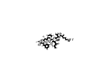 CC[C@H](C)[C@@H]([C@@H](CC(=O)N1CCC[C@H]1[C@H](OC)[C@@H](C)C(=O)N[C@@H](Cc1ccccc1)C(=O)OC)OC)N(C)C(=O)[C@@H](NC(=O)C(C)CCCNC)C(C)C